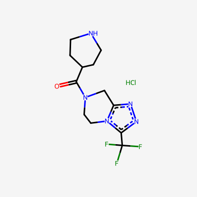 Cl.O=C(C1CCNCC1)N1CCn2c(nnc2C(F)(F)F)C1